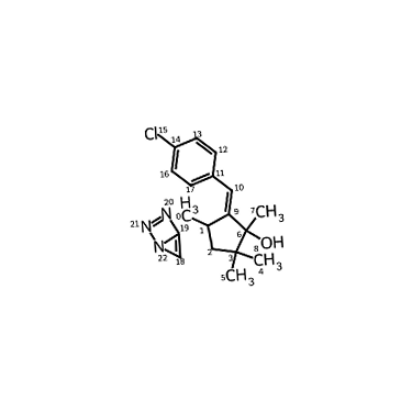 CC1CC(C)(C)C(C)(O)C1=Cc1ccc(Cl)cc1.c1c2nnn1-2